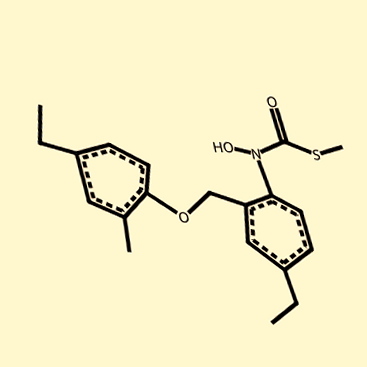 CCc1ccc(OCc2cc(CC)ccc2N(O)C(=O)SC)c(C)c1